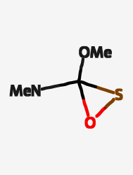 CNC1(OC)OS1